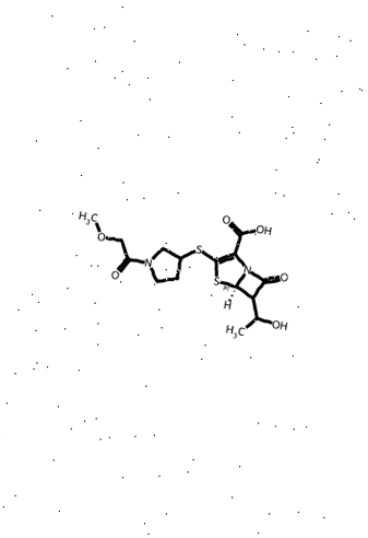 COCC(=O)N1CCC(SC2=C(C(=O)O)N3C(=O)C(C(C)O)[C@H]3S2)C1